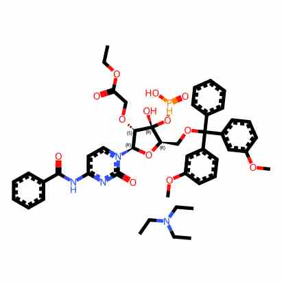 CCN(CC)CC.CCOC(=O)CO[C@H]1[C@H](n2ccc(NC(=O)c3ccccc3)nc2=O)O[C@H](COC(c2ccccc2)(c2cccc(OC)c2)c2cccc(OC)c2)[C@@]1(O)O[PH](=O)O